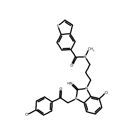 CN(CCCn1c(=N)n(CC(=O)c2ccc(Cl)cc2)c2cccc(Cl)c21)C(=O)c1ccc2sccc2c1